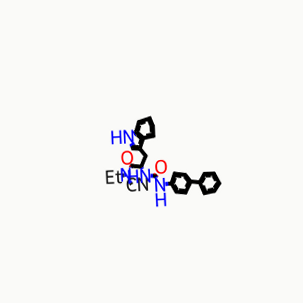 CCN(C#N)C(=O)C(Cc1c[nH]c2ccccc12)NC(=O)Nc1ccc(-c2ccccc2)cc1